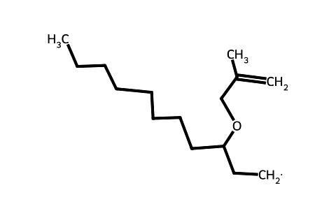 [CH2]CC(CCCCCCCC)OCC(=C)C